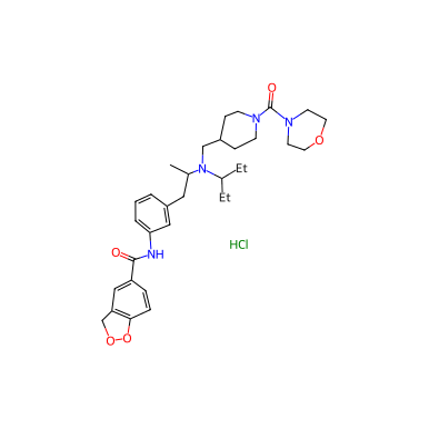 CCC(CC)N(CC1CCN(C(=O)N2CCOCC2)CC1)C(C)Cc1cccc(NC(=O)c2ccc3c(c2)COO3)c1.Cl